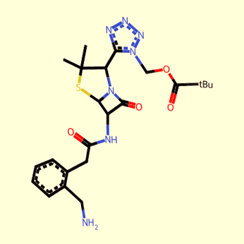 CC(C)(C)C(=O)OCn1nnnc1C1N2C(=O)C(NC(=O)Cc3ccccc3CN)C2SC1(C)C